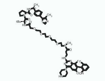 Cc1ncsc1-c1ccc([C@H](C)NC(=O)[C@@H]2CCCN2C(=O)[C@@H](NC(=O)COCCOCCOCCOCCN(C)C(=O)CCNc2nc(N3CCNCC3)c3cc(Cl)c(-c4c(O)cccc4F)c(F)c3n2)C(C)(C)C)cc1